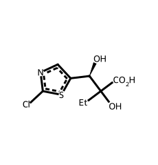 CCC(O)(C(=O)O)[C@H](O)c1cnc(Cl)s1